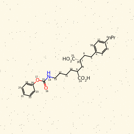 CCCc1ccc(CC[C@H](CC(CCCCNC(=O)Oc2ccccc2)C(=O)O)C(=O)O)cc1